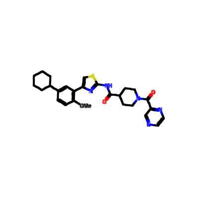 COc1ccc(C2CCCCC2)cc1-c1csc(NC(=O)C2CCN(C(=O)c3cnccn3)CC2)n1